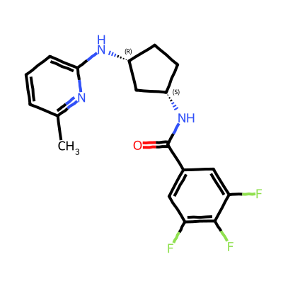 Cc1cccc(N[C@@H]2CC[C@H](NC(=O)c3cc(F)c(F)c(F)c3)C2)n1